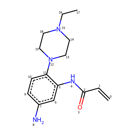 C=CC(=O)Nc1cc(N)ccc1N1CCN(CC)CC1